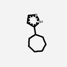 [c]1cc(C2CCCCCC2)[nH]n1